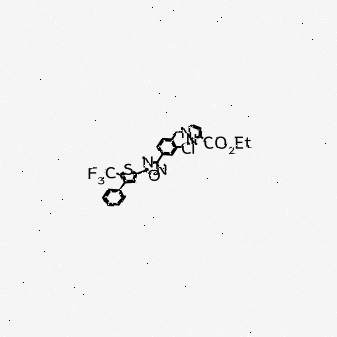 CCOC(=O)c1ccn(Cc2ccc(-c3noc(-c4cc(-c5ccccc5)c(C(F)(F)F)s4)n3)cc2Cl)n1